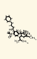 CC(C)CC(CC(C)C)C(C)(C(N)=O)c1ccc([N+](=O)[O-])c(NCCCN2CCCCC2)c1